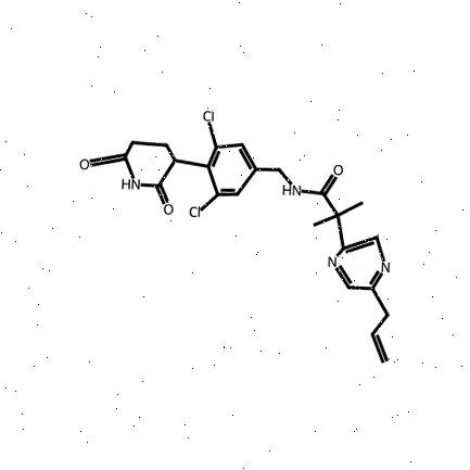 C=CCc1cnc(C(C)(C)C(=O)NCc2cc(Cl)c(C3CCC(=O)NC3=O)c(Cl)c2)cn1